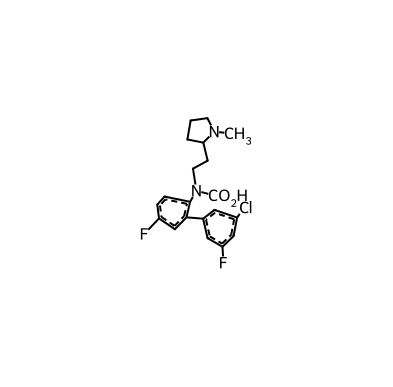 CN1CCCC1CCN(C(=O)O)c1ccc(F)cc1-c1cc(F)cc(Cl)c1